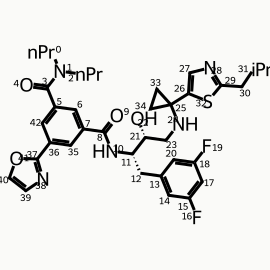 CCCN(CCC)C(=O)c1cc(C(=O)N[C@@H](Cc2cc(F)cc(F)c2)[C@H](O)CNC2(c3cnc(CC(C)C)s3)CC2)cc(-c2ncco2)c1